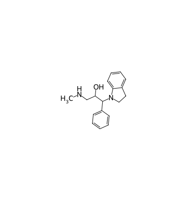 CNCC(O)C(c1ccccc1)N1CCc2ccccc21